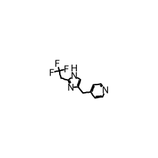 FC(F)(F)Cc1nc(Cc2ccncc2)c[nH]1